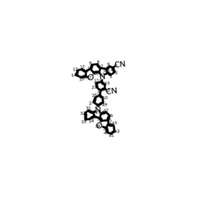 N#Cc1ccc2c(c1)c1ccc3c4ccccc4oc3c1n2-c1ccc(-c2ccc(-n3c4ccccc4c4c5oc6ccccc6c5ccc43)cc2)c(C#N)c1